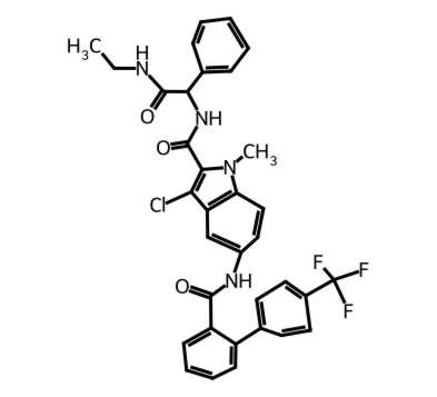 CCNC(=O)C(NC(=O)c1c(Cl)c2cc(NC(=O)c3ccccc3-c3ccc(C(F)(F)F)cc3)ccc2n1C)c1ccccc1